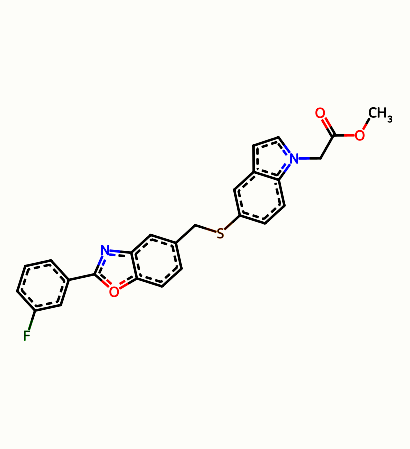 COC(=O)Cn1ccc2cc(SCc3ccc4oc(-c5cccc(F)c5)nc4c3)ccc21